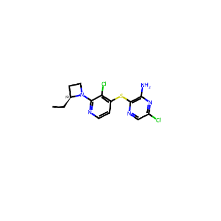 CC[C@H]1CCN1c1nccc(Sc2ncc(Cl)nc2N)c1Cl